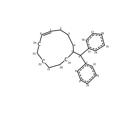 C1=CCCCC(C(c2ccccc2)c2ccccc2)CCCCCC1